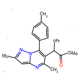 CCCC(C(=O)OC)c1c(C)nc2cc(C(C)(C)C)nn2c1-c1ccc(C)cc1